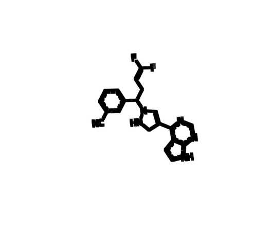 N#Cc1cccc(C(CC=C(F)F)N2C=C(c3ncnc4[nH]ccc34)CN2)c1